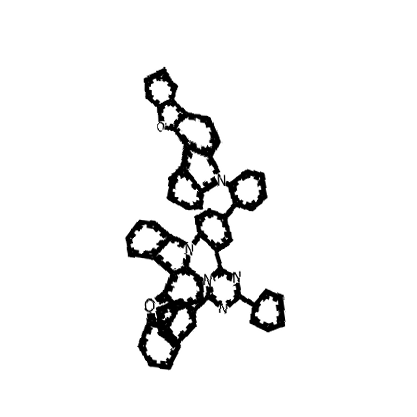 c1ccc(-c2nc(-c3ccccc3)nc(-c3cc(-c4ccccc4-n4c5ccccc5c5c6oc7ccccc7c6ccc54)ccc3-n3c4ccccc4c4c5oc6ccccc6c5ccc43)n2)cc1